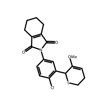 COC1=CCCSC1c1cc(N2C(=O)C3=C(CCCC3)C2=O)ccc1Cl